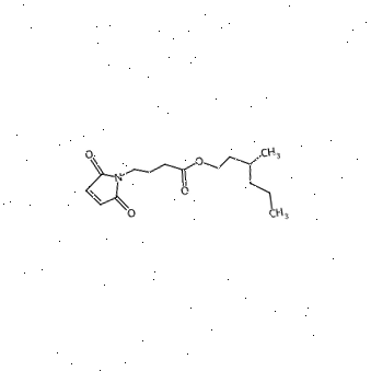 CCCC(C)CCOC(=O)CCCN1C(=O)C=CC1=O